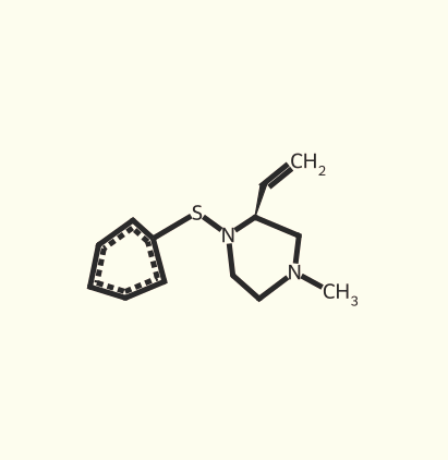 C=C[C@H]1CN(C)CCN1Sc1ccccc1